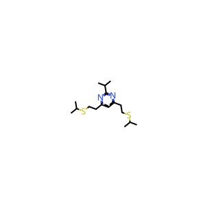 CC(C)SCCc1cc(CCSC(C)C)nc(C(C)C)n1